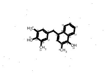 Cc1cc(Cc2cc(C)c(O)c3ccccc23)cc(C)c1O